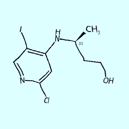 C[C@@H](CCO)Nc1cc(Cl)ncc1I